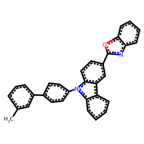 Cc1cccc(-c2ccc(-n3c4ccccc4c4cc(-c5nc6ccccc6o5)ccc43)cc2)c1